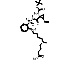 C=C[C@@H]1C[C@]1(NC(=O)OC(C)(C)C)C(=O)NS(=O)(=O)c1ccccc1NCCCCN(C)CCCC(=O)O